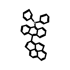 c1ccc(N(c2ccccc2)c2c3ccccc3c(-c3ccc4ccc5cccc6ccc3c4c56)c3ccccc23)cc1